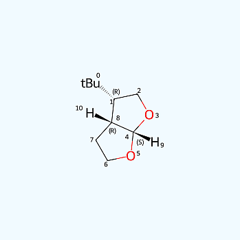 CC(C)(C)[C@@H]1CO[C@@H]2OCC[C@@H]21